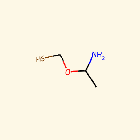 CC(N)OCS